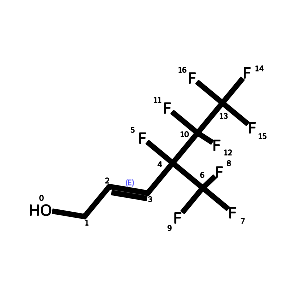 OC/C=C/C(F)(C(F)(F)F)C(F)(F)C(F)(F)F